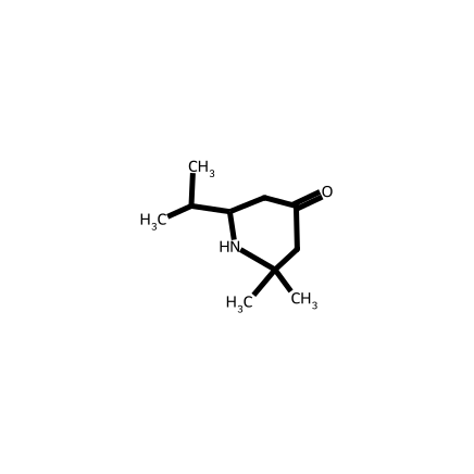 CC(C)C1CC(=O)CC(C)(C)N1